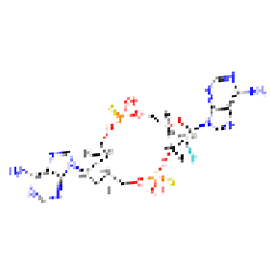 Nc1ncnc2c1ncn2[C@@H]1C[C@@H]2COP(O)(=S)O[C@H]3[C@H](F)[C@H](n4cnc5c(N)ncnc54)O[C@@H]3COP(O)(=S)OC[C@H]21